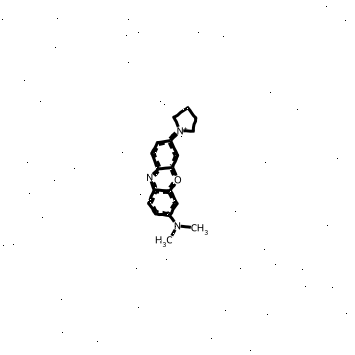 CN(C)c1ccc2nc3ccc(=[N+]4CCCC4)cc-3oc2c1